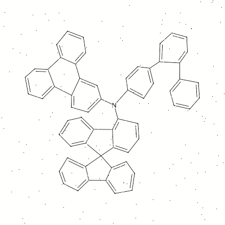 c1ccc(-c2ccccc2-c2ccc(N(c3ccc4c5ccccc5c5ccccc5c4c3)c3cccc4c3-c3ccccc3C43c4ccccc4-c4ccccc43)cc2)cc1